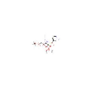 CCOC(=O)C(SCc1cccnc1)(C(=O)OCC)C(N)CCC(=O)OC(C)(C)C